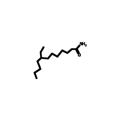 CCCCC(CC)CCCCCCC(N)=O